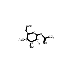 CC(=O)OC[C@H]1OC(OC(=N)C(Cl)(Cl)Cl)[C@H](F)[C@@H](OC(C)=O)[C@@H]1OC(C)=O